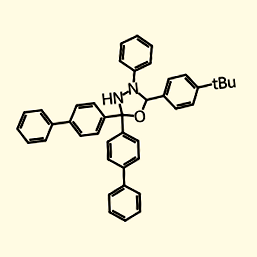 CC(C)(C)c1ccc(C2OC(c3ccc(-c4ccccc4)cc3)(c3ccc(-c4ccccc4)cc3)NN2c2ccccc2)cc1